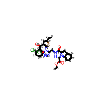 CCOC(=O)Cn1c(C(=O)NCc2nnc(Cl)n2-c2sc(CC)cc2C(=O)c2ccccc2Cl)cc2ccccc21